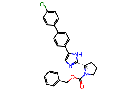 O=C(OCc1ccccc1)N1CCC[C@H]1c1ncc(-c2ccc(-c3ccc(Cl)cc3)cc2)[nH]1